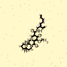 C=C/C=C\C=C(/C=C)CNC(=O)c1cn2c(c(OP)c1=O)C(=O)N1CC[C@H]3CCCN3[C@H]1C2